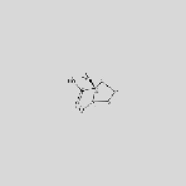 CN1CCC[C@@]1(N)C(=O)O